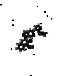 Cn1nccc1-c1cc2cnn(C(Cc3ccccc3)C(=O)NO)c2cn1